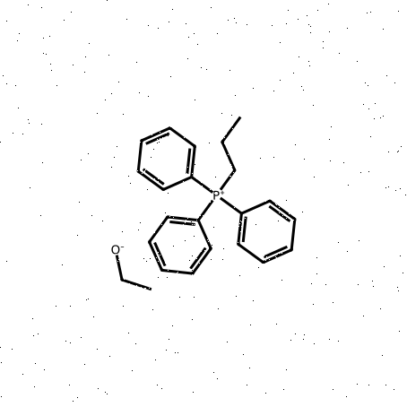 CCC[P+](c1ccccc1)(c1ccccc1)c1ccccc1.CC[O-]